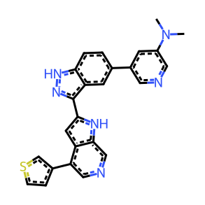 CN(C)c1cncc(-c2ccc3[nH]nc(-c4cc5c(-c6ccsc6)cncc5[nH]4)c3c2)c1